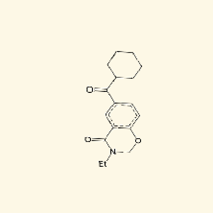 CCN1COc2ccc(C(=O)C3CCCCC3)cc2C1=O